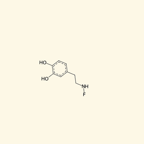 Oc1ccc(CCNF)cc1O